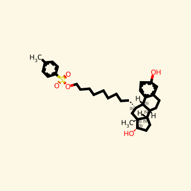 Cc1ccc(S(=O)(=O)OCCCCCCCCC[C@H]2C[C@]3(C)[C@@H](O)CC[C@H]3[C@@H]3CCc4cc(O)ccc4[C@@H]23)cc1